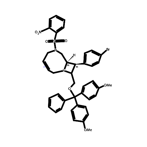 COc1ccc(C(OCC2[C@H](c3ccc(Br)cc3)[C@@H]3CN(S(=O)(=O)c4ccccc4[N+](=O)[O-])C/C=C\CN23)(c2ccccc2)c2ccc(OC)cc2)cc1